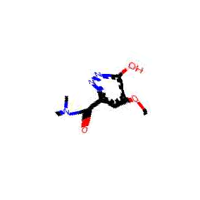 COc1cc(C(=O)N(C)C)nnc1O